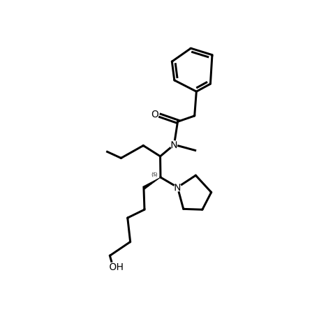 CCCC([C@H](CCCCCO)N1CCCC1)N(C)C(=O)Cc1ccccc1